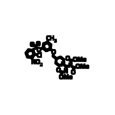 COC(=O)N=C(N1CCC(COc2cc(C)cc(OS(=O)(=O)c3cccc([N+](=O)[O-])c3Cl)c2)CC1)N(C(=O)OC)C(=O)OC